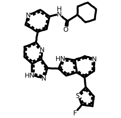 O=C(Nc1cncc(-c2ccc3[nH]nc(-c4cc5c(-c6ccc(F)s6)cncc5[nH]4)c3n2)c1)C1CCCCC1